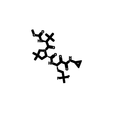 COC(=O)N[C@H](C(=O)N1CC(C)(C)C[C@H]1C(=O)N[C@@H](CCC(C)(F)F)C(=O)C(=O)NC1CC1)C(C)(C)C